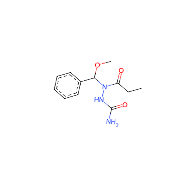 CCC(=O)N(NC(N)=O)C(OC)c1ccccc1